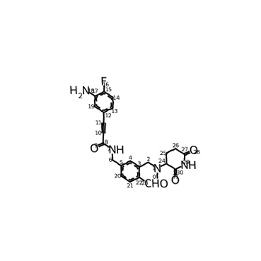 CN(Cc1cc(CNC(=O)C#Cc2ccc(F)c(N)c2)ccc1C=O)C1CCC(=O)NC1=O